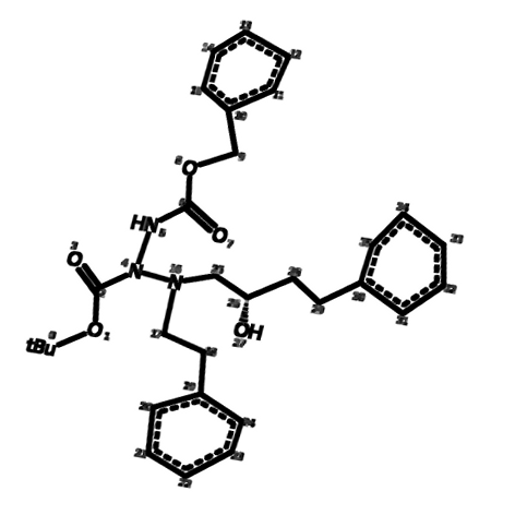 CC(C)(C)OC(=O)N(NC(=O)OCc1ccccc1)N(CCc1ccccc1)C[C@@H](O)CCc1ccccc1